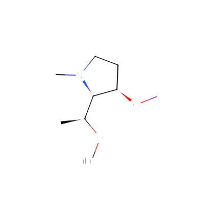 CC(C)O[C@@H](C)[C@@H]1[C@H](OI)CCN1C